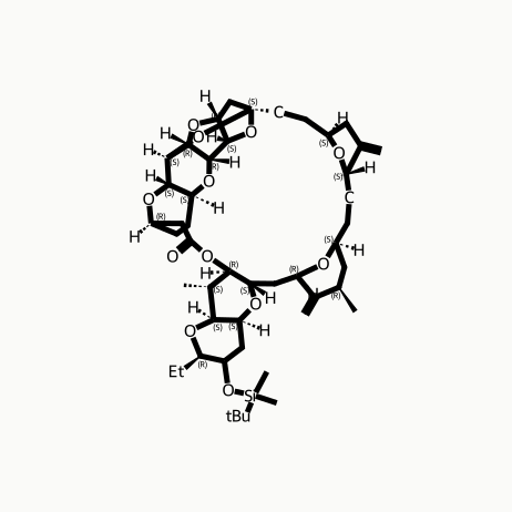 C=C1C[C@@H]2CC[C@@]34C[C@H]5O[C@H]6[C@@H](O3)[C@H]3O[C@H](CC[C@@H]3O[C@H]6[C@H]5O4)CC(=O)O[C@@H]3[C@@H](C)[C@@H]4O[C@H](CC)C(O[Si](C)(C)C(C)(C)C)C[C@@H]4O[C@H]3C[C@H]3O[C@@H](CC[C@@H]1O2)C[C@@H](C)C3=C